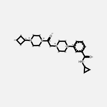 O=C(NC1CC1)c1cccc(N2CCN(CC(=O)N3CCN(C4CCC4)CC3)CC2)c1